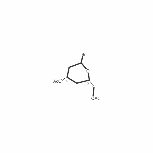 CC(=O)OC[C@@H]1C[C@H](OC(C)=O)CC(Br)O1